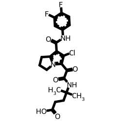 CC(C)(CCC(=O)O)NC(=O)C(=O)c1c(Cl)c(C(=O)Nc2ccc(F)c(F)c2)c2n1CCC2